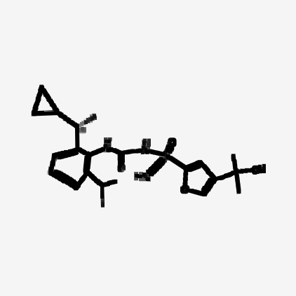 CC(C)c1cccc([C@@H](C)C2CC2)c1NC(=O)NS(=N)(=O)c1cc(C(C)(C)O)co1